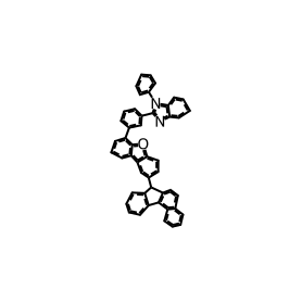 c1ccc(-n2c(-c3cccc(-c4cccc5c4oc4ccc(C6c7ccccc7-c7c6ccc6ccccc76)cc45)c3)nc3ccccc32)cc1